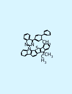 CC1C=C(c2nc(-n3c4ccccc4c4ccc5c6c(sc5c43)-c3ccccc3C6(C)C)nc3ccccc23)C=CC1c1ccccc1